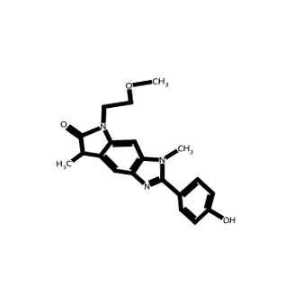 COCCN1C(=O)C(C)c2cc3nc(-c4ccc(O)cc4)n(C)c3cc21